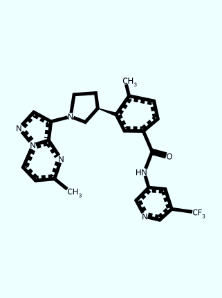 Cc1ccn2ncc(N3CC[C@@H](c4cc(C(=O)Nc5cncc(C(F)(F)F)c5)ccc4C)C3)c2n1